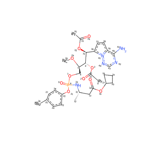 CC(C)C(=O)O[C@H]([C@@H](COP(=O)(N[C@@H](C)CC(=O)OC1CCC1)Oc1ccc(C(C)(C)C)cc1)OC#N)[C@@H](OC(=O)C(C)C)c1ccc2c(N)ncnn12